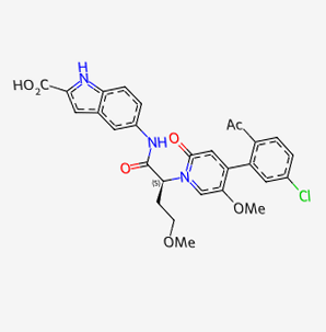 COCC[C@@H](C(=O)Nc1ccc2[nH]c(C(=O)O)cc2c1)n1cc(OC)c(-c2cc(Cl)ccc2C(C)=O)cc1=O